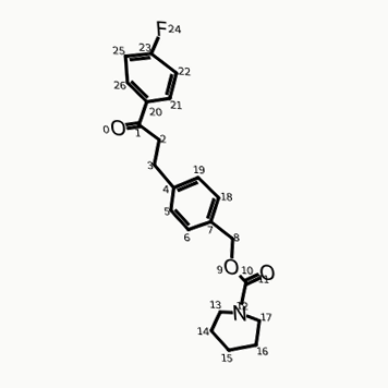 O=C(CCc1ccc(COC(=O)N2CCCCC2)cc1)c1ccc(F)cc1